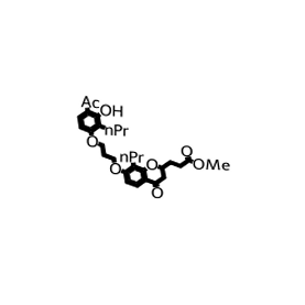 CCCc1c(OCCCOc2ccc3c(c2CCC)OC(CCC(=O)OC)CC3=O)ccc(C(C)=O)c1O